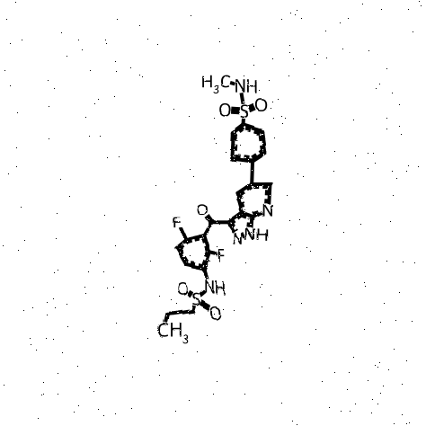 CCCS(=O)(=O)Nc1ccc(F)c(C(=O)c2n[nH]c3ncc(-c4ccc(S(=O)(=O)NC)cc4)cc23)c1F